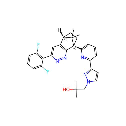 CC(C)(O)Cn1ccc(-c2cccc([C@@]34CC[C@@H](c5cc(-c6c(F)cccc6F)nnc53)C4(C)C)n2)n1